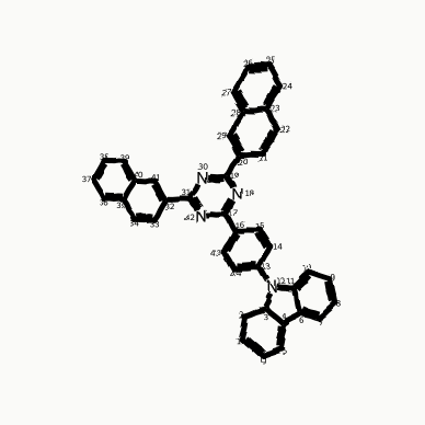 C1=CCC2C(=C1)c1ccccc1N2c1ccc(-c2nc(-c3ccc4ccccc4c3)nc(-c3ccc4ccccc4c3)n2)cc1